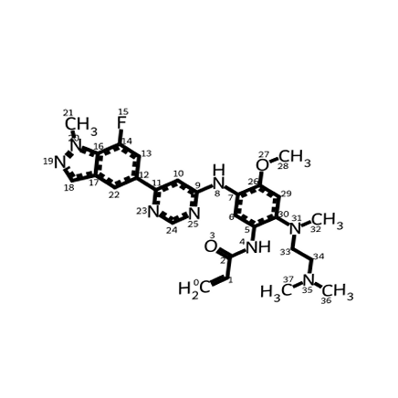 C=CC(=O)Nc1cc(Nc2cc(-c3cc(F)c4c(cnn4C)c3)ncn2)c(OC)cc1N(C)CCN(C)C